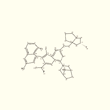 CCc1cccc2cc(O)cc(-c3c(C(F)F)cc4c(N5CC6CCC(C5)N6)nc(OCC56CCCN5C[C@H](F)C6)nc4c3F)c12